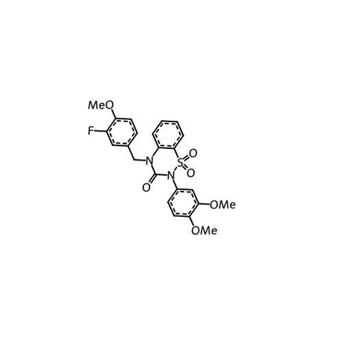 COc1ccc(CN2C(=O)N(c3ccc(OC)c(OC)c3)S(=O)(=O)c3ccccc32)cc1F